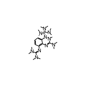 CN(C)C(=Nc1cccc(N=P(N(C)C)(N(C)C)N(C)C)c1N=C(N(C)C)N(C)C)N(C)C